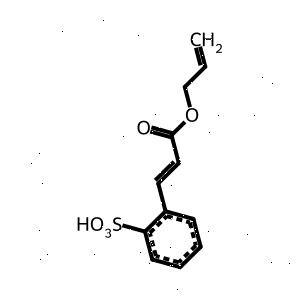 C=CCOC(=O)/C=C/c1ccccc1S(=O)(=O)O